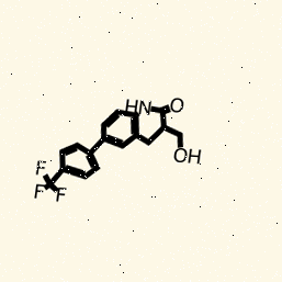 O=C1Nc2ccc(-c3ccc(C(F)(F)F)cc3)cc2CC1CO